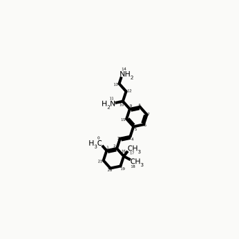 CC1=C(C=Cc2cccc(C(N)CCN)c2)C(C)(C)CCC1